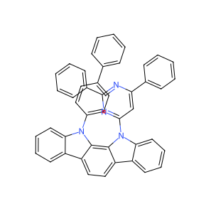 c1ccc(-c2ccc(-n3c4ccccc4c4ccc5c6ccccc6n(-c6cc(-c7ccccc7)nc(-c7ccccc7)n6)c5c43)cc2)cc1